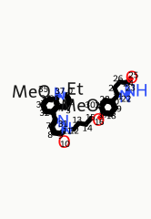 CCc1ccc2c(-c3ccc(=O)n(CCCCOc4ccc(C5=NNC(=O)CC5)cc4OC)n3)ccc(OC)c2n1